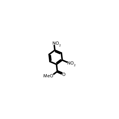 COC(=O)c1ccc([N+](=O)[O-])cc1[N+](=O)[O-]